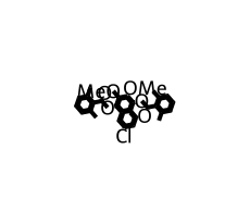 COc1c(OC)c(OC(=O)c2c(C)cccc2C)c2cc(Cl)ccc2c1OC(=O)c1c(C)cccc1C